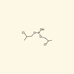 CC(Cl)COP(O)OCC(C)Cl